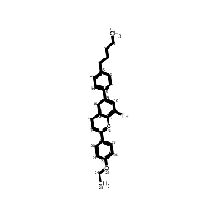 CCCCCc1ccc(-c2cc(F)c3c(c2)CCC(c2ccc(OCC)cc2)O3)cc1